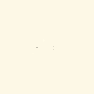 [Co+2].[F-].[F-].[F-].[F-].[H+]